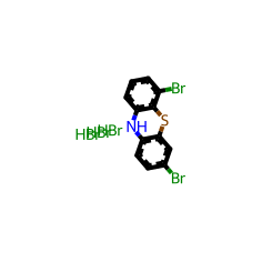 Br.Br.Br.Brc1ccc2c(c1)Sc1c(Br)cccc1N2